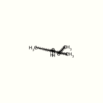 CCCCCCCCCCCCCCCCCCNC(=O)NCCCCCC(=O)N(CCCCCCCC)CCCCCCCC